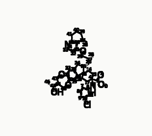 COC(=O)C1(Nc2cccc(Cl)c2)CCC2(CC1)c1cc3c(cc1C[C@@H]2C[C@@H](C)COc1ccnc2c1[C@H](C)CCC2)OCC([C@@H](C)O)CO3